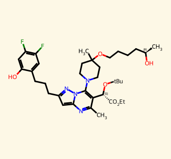 CCOC(=O)[C@@H](OC(C)(C)C)c1c(C)nc2cc(CCCc3cc(F)c(F)cc3O)nn2c1N1CCC(C)(OCCCC[C@@H](C)O)CC1